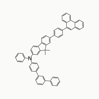 CC1(C)c2cc(-c3ccc(-c4cc5ccccc5c5ccccc45)cc3)ccc2-c2ccc(N(c3ccccc3)c3ccc(-c4cccc(-c5ccccc5)c4)cc3)cc21